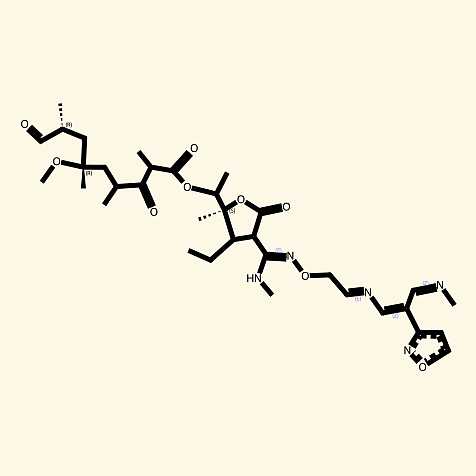 CCC1C(/C(=N/OC/C=N/C=C(\C=N/C)c2ccon2)NC)C(=O)O[C@]1(C)C(C)OC(=O)C(C)C(=O)C(C)C[C@@](C)(C[C@@H](C)C=O)OC